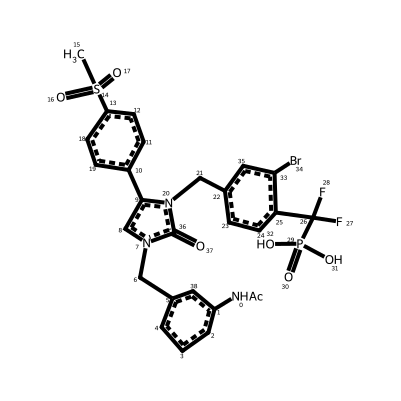 CC(=O)Nc1cccc(Cn2cc(-c3ccc(S(C)(=O)=O)cc3)n(Cc3ccc(C(F)(F)P(=O)(O)O)c(Br)c3)c2=O)c1